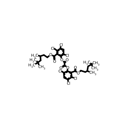 CC(CCOC(=O)c1c(Cl)c(Cl)cc(Cl)c1OC(=O)C(=O)Oc1c(Cl)cc(Cl)c(Cl)c1C(=O)OCCC(C)CC(C)(C)C)CC(C)(C)C